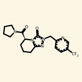 O=C([C@@H]1CCCc2nn(Cc3ccc(C(F)(F)F)cn3)c(=O)n21)N1CCCC1